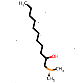 CCCCCCCCCC(O)CP(C)C